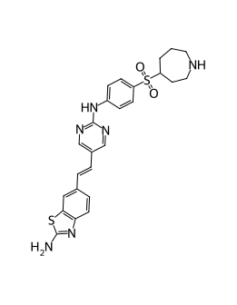 Nc1nc2ccc(C=Cc3cnc(Nc4ccc(S(=O)(=O)C5CCCNCC5)cc4)nc3)cc2s1